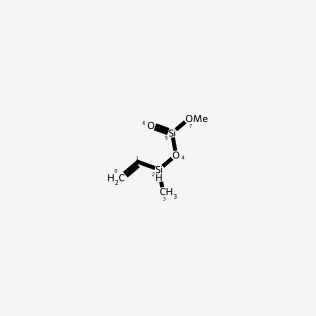 C=C[SiH](C)O[Si](=O)OC